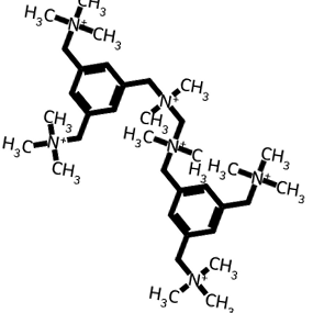 C[N+](C)(C)Cc1cc(C[N+](C)(C)C)cc(C[N+](C)(C)C[N+](C)(C)Cc2cc(C[N+](C)(C)C)cc(C[N+](C)(C)C)c2)c1